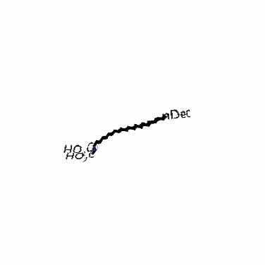 CCCCCCCCCCCCCCCCCCCCCCCCCCCCCC/C(=C/C(=O)O)C(=O)O